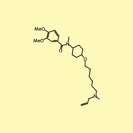 C=CCN(C)CCCCCCOC1CCC(N(C)C(=O)c2ccc(OC)c(OC)c2)CC1